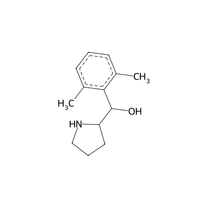 Cc1cccc(C)c1C(O)C1CCCN1